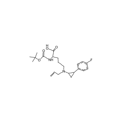 C=CCN(CCCC(NC(=O)OC(C)(C)C)C(=O)O)C1CC1c1ccc(F)cc1